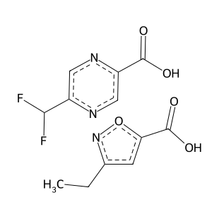 CCc1cc(C(=O)O)on1.O=C(O)c1cnc(C(F)F)cn1